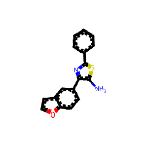 Nc1sc(-c2ccccc2)nc1-c1ccc2occc2c1